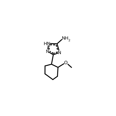 COC1CCCCC1c1n[nH]c(N)n1